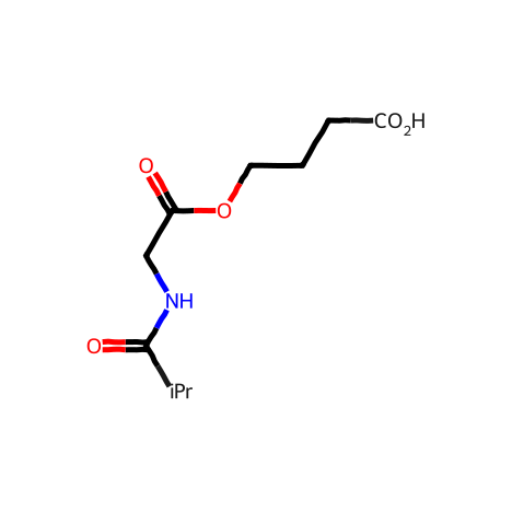 CC(C)C(=O)NCC(=O)OCCCC(=O)O